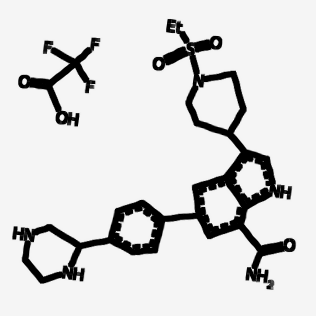 CCS(=O)(=O)N1CCC(c2c[nH]c3c(C(N)=O)cc(-c4ccc(C5CNCCN5)cc4)cc23)CC1.O=C(O)C(F)(F)F